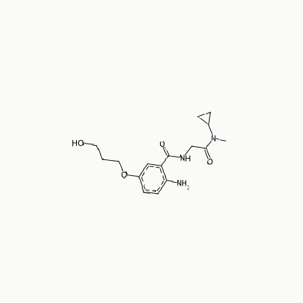 CN(C(=O)CNC(=O)c1cc(OCCCO)ccc1N)C1CC1